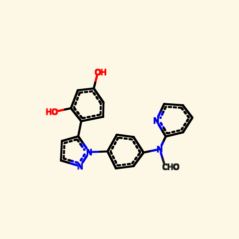 O=CN(c1ccc(-n2nccc2-c2ccc(O)cc2O)cc1)c1ccccn1